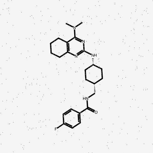 CN(C)c1nc(N[C@H]2CC[C@@H](CNC(=O)c3ccc(F)cc3)CC2)nc2c1CCCC2